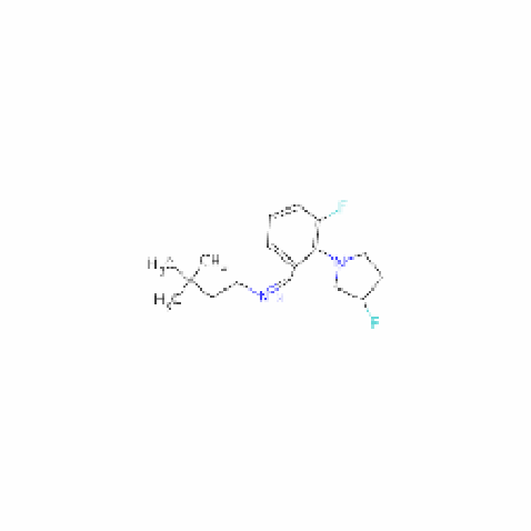 CC(C)(C)CC/N=C\c1cccc(F)c1N1CCC(F)C1